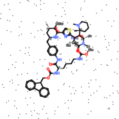 CC[C@H](C)[C@H](NC(=O)[C@@]1(C)CCCCN1C)C(=O)N(CC)[C@H](C[C@@H](OC(C)=O)c1nc(C(=O)N[C@@H](Cc2ccc(NC(=O)[C@H](CCCCNC(=O)OC(C)(C)C)NC(=O)OCC3c4ccccc4-c4ccccc43)cc2)C[C@H](C)C(=O)OC)cs1)C(C)C